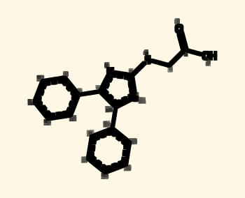 O=C(O)CSc1nc(-c2ccccc2)c(-c2ccccc2)s1